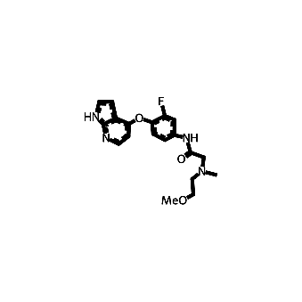 COCCN(C)CC(=O)Nc1ccc(Oc2ccnc3[nH]ccc23)c(F)c1